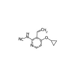 C=Cc1c(OC2CC2)ccnc1NC#N